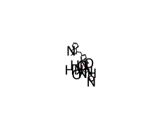 Cc1cc(Cc2ccc(C(=O)N[C@@H]3CN(Cc4ccncc4)C[C@]34NC(=O)NC4=O)cc2)c2ccccc2n1